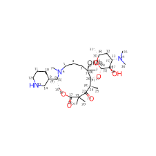 CO[C@]1(C)CCCN(C)[C@@H]([C@@H]2CCCNC2)COC(=O)C(C)(C)C(=O)[C@H](C)[C@H]1O[C@@H]1O[C@H](C)C[C@H](N(C)C)[C@H]1O